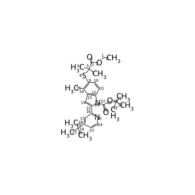 CCOC(=O)C(C)(C)Sc1ccc2c(cc(-c3cc(C(C)(C)C)ccn3)n2C(=O)OC(C)(C)C)c1C